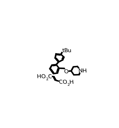 CC(C)(C)c1ccc(-c2ccccc2COC2CCNCC2)cc1.O=C(O)C=CC(=O)O